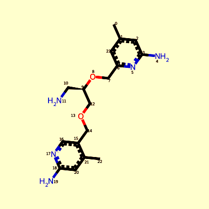 Cc1cc(N)nc(CO[C@H](CN)COCc2cnc(N)cc2C)c1